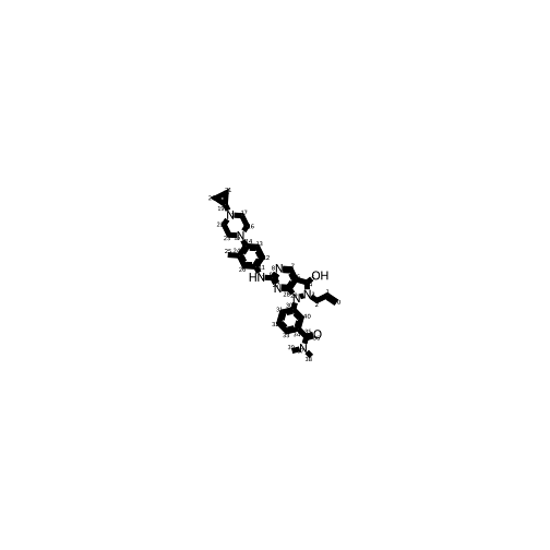 C=CCN1C(O)c2cnc(Nc3ccc(N4CCN(C5CC5)CC4)c(C)c3)nc2N1c1cccc(C(=O)N(C)C)c1